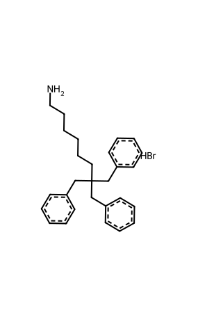 Br.NCCCCCCC(Cc1ccccc1)(Cc1ccccc1)Cc1ccccc1